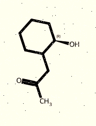 CC(=O)CC1CCCC[C@H]1O